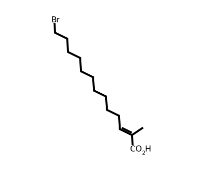 CC(=CCCCCCCCCCCBr)C(=O)O